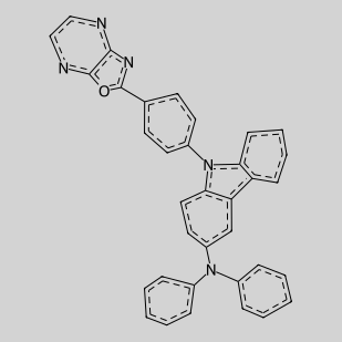 c1ccc(N(c2ccccc2)c2ccc3c(c2)c2ccccc2n3-c2ccc(-c3nc4nccnc4o3)cc2)cc1